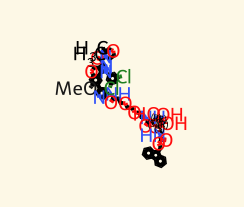 COc1cc2c(cc1-c1cncc(NC(=O)CCOCCOCCNC(=O)[C@H]3O[C@@H](CNC(=O)OCC4c5ccccc5-c5ccccc54)[C@H](O)[C@@H](O)[C@H]3O)c1)-c1c(c(C(=O)N3CCOCC3(C)C)nn1-c1cc(Cl)cc(Cl)c1)CO2